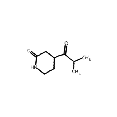 CC(C)C(=O)C1CCNC(=O)C1